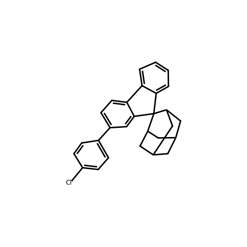 Clc1ccc(-c2ccc3c(c2)C2(c4ccccc4-3)C3CC4CC(C3)CC2C4)cc1